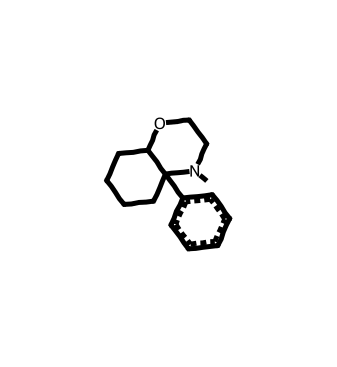 CN1CCOC2CCCCC21c1ccccc1